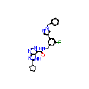 O=C(NCc1cc(F)cc(-c2cnn(Cc3ccccc3)c2)c1)c1ncnc2nc(C3CCCC3)[nH]c12